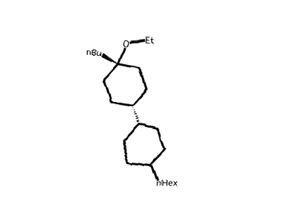 CCCCCCC1CCC([C@H]2CC[C@@](CCCC)(OCC)CC2)CC1